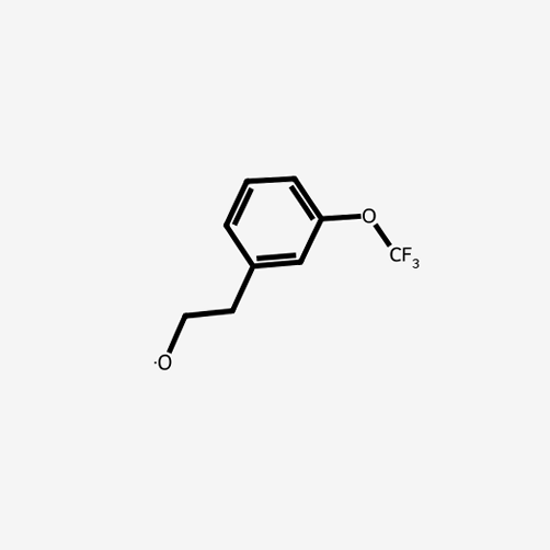 [O]CCc1cccc(OC(F)(F)F)c1